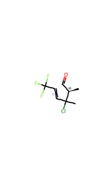 C[C@H](C=O)C(C)(Cl)/C=C/C(F)(F)F